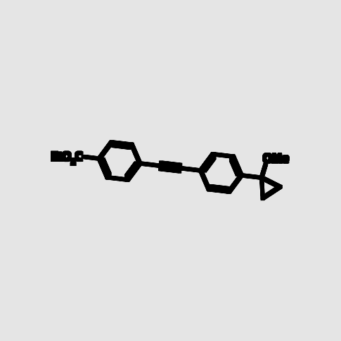 CCOC(=O)c1ccc(C#Cc2ccc(C3(OC)CC3)cc2)cc1